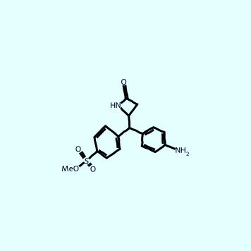 COS(=O)(=O)c1ccc(C(c2ccc(N)cc2)C2CC(=O)N2)cc1